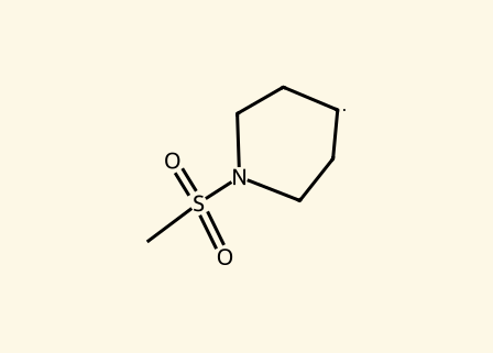 CS(=O)(=O)N1CC[CH]CC1